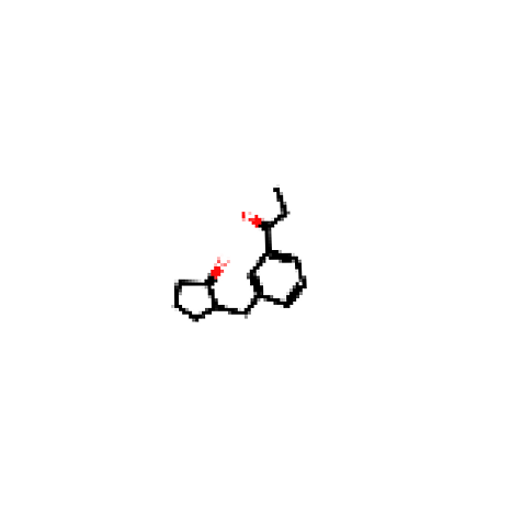 CCC(=O)c1cccc(CC2CCCC2=O)c1